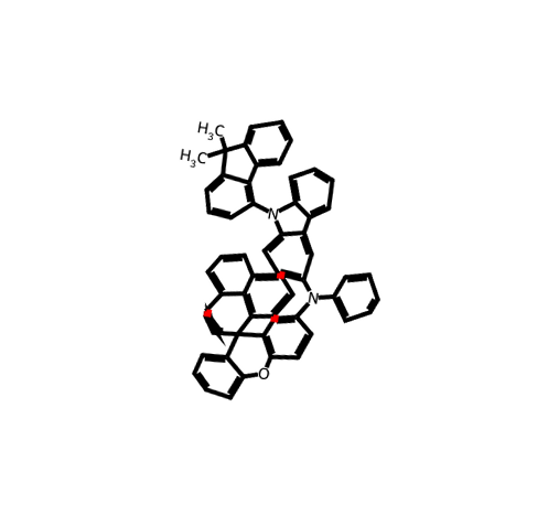 CC1(C)c2ccccc2-c2c(-n3c4ccccc4c4cc(N(c5ccccc5)c5ccc6c(c5)C5(c7ccccc7O6)c6ccccc6-c6cccc7cccc5c67)ccc43)cccc21